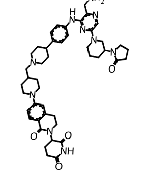 NCc1ncc(N2CCC[C@H](N3CCCC3=O)C2)nc1Nc1ccc(C2CCN(CC3CCN(c4ccc5c(c4)CCN(C4CCC(=O)NC4=O)C5=O)CC3)CC2)cc1